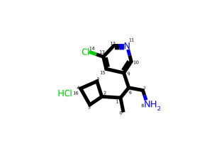 CC(C1CCC1)C(CN)c1cncc(Cl)c1.Cl